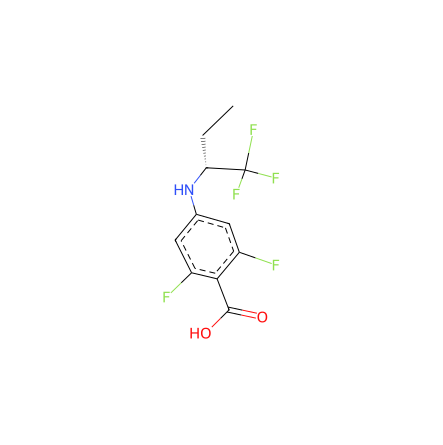 CC[C@@H](Nc1cc(F)c(C(=O)O)c(F)c1)C(F)(F)F